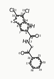 O=C(CNC(=O)c1cc2sc(Cl)c(Cl)c2[nH]1)c1ccccc1